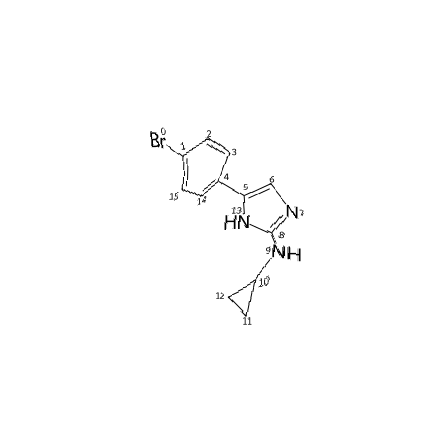 Brc1ccc(-c2cnc(NC3CC3)[nH]2)cc1